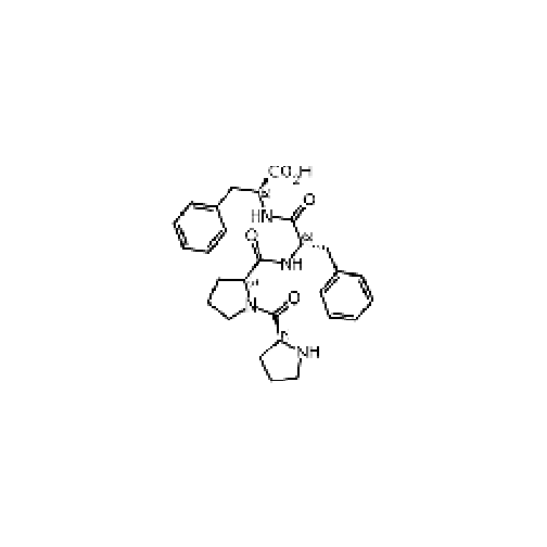 O=C(O)[C@H](Cc1ccccc1)NC(=O)[C@H](Cc1ccccc1)NC(=O)[C@@H]1CCCN1C(=O)[C@@H]1CCCN1